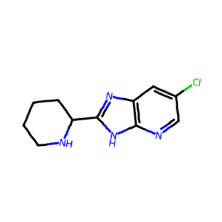 Clc1cnc2[nH]c(C3CCCCN3)nc2c1